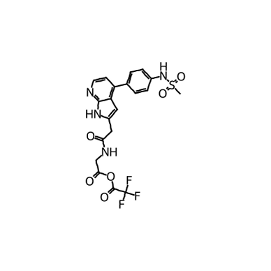 CS(=O)(=O)Nc1ccc(-c2ccnc3[nH]c(CC(=O)NCC(=O)OC(=O)C(F)(F)F)cc23)cc1